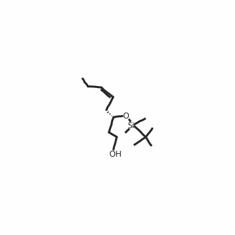 CC/C=C\C[C@@H](CCO)O[Si](C)(C)C(C)(C)C